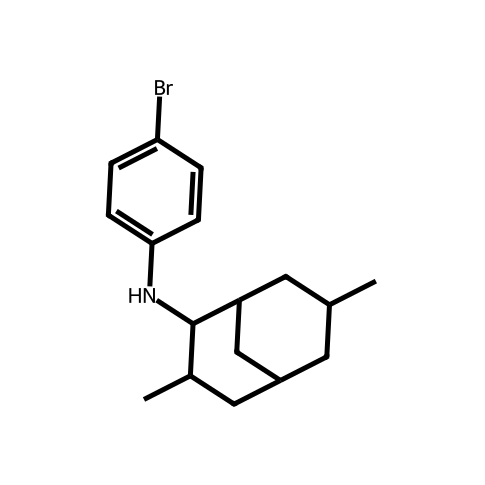 CC1CC2CC(C)C(Nc3ccc(Br)cc3)C(C1)C2